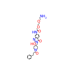 NCCOCCOCC(=O)Nc1ccc2c(=O)n(CC3(O)CCN(C(=O)CCc4ccccc4)CC3)cnc2c1